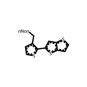 CCCCCCCCCCc1ccsc1-c1cc2sccc2s1